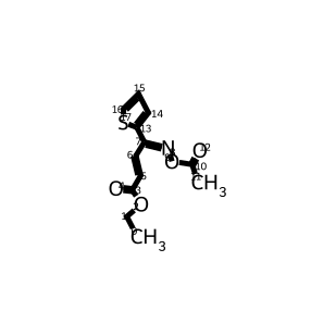 CCOC(=O)C=CC(=NOC(C)=O)c1cccs1